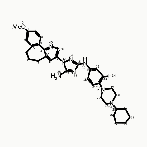 COc1ccc2c(c1)CCCc1cc(-n3nc(Nc4ccc(N5CCN(C6CCCCC6)CC5)c(F)c4)nc3N)nnc1-2